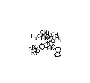 CC[C@@H](C)C(=O)N[C@H](C(=O)N1Cc2ccc(OS(=O)(=O)C(F)(F)F)cc2CC1C(=O)NC1CCCc2ccccc21)C(C)(C)C